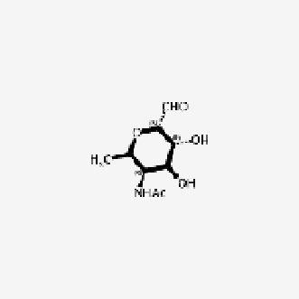 CC(=O)N[C@H]1C(C)O[C@H](C=O)[C@H](O)C1O